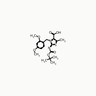 COc1ccc(Cn2c(C(=O)O)c(C)s/c2=N\C(=O)OC(C)(C)C)c(OC)c1